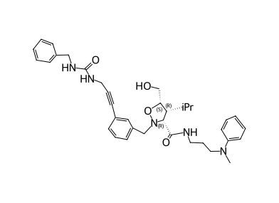 CC(C)[C@H]1[C@@H](CO)ON(Cc2cccc(C#CCNC(=O)NCc3ccccc3)c2)[C@H]1C(=O)NCCCN(C)c1ccccc1